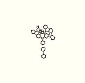 CC1(C)c2ccccc2-c2ccc(N(c3ccc(-c4ccc(-c5ccccc5)cc4)cc3)c3cc(C4(c5ccccc5)c5ccccc5-c5ccccc54)c4oc5ccccc5c4c3)cc21